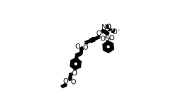 CCOC(=O)COc1ccc(/C=C/C(=O)OCC#CCOc2no[n+]([O-])c2S(=O)(=O)c2ccccc2)cc1